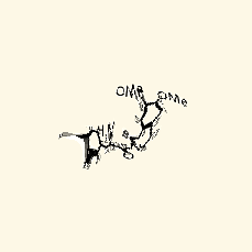 COc1cc2c(cc1OC)CN(C(=O)[C@H](N)Cc1ccccc1)CC2